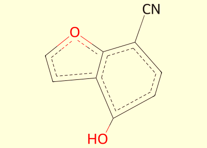 N#Cc1ccc(O)c2ccoc12